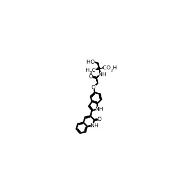 C[C@](CO)(NC(=O)COc1ccc2[nH]c(-c3cc4ccccc4[nH]c3=O)cc2c1)C(=O)O